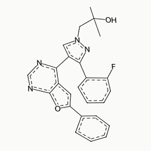 CC(C)(O)Cn1cc(-c2ncnc3oc(-c4ccccc4)cc23)c(-c2ccccc2F)n1